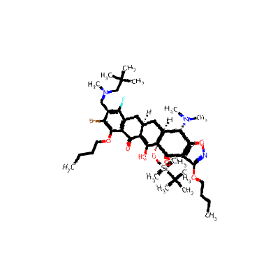 CCCCOc1noc2c1C(=O)[C@@]1(O[Si](C)(C)C(C)(C)C)C(O)=C3C(=O)c4c(c(F)c(CN(C)CC(C)(C)C)c(Br)c4OCCCC)C[C@H]3C[C@H]1[C@@H]2N(C)C